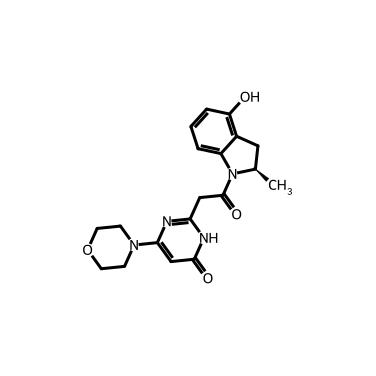 C[C@@H]1Cc2c(O)cccc2N1C(=O)Cc1nc(N2CCOCC2)cc(=O)[nH]1